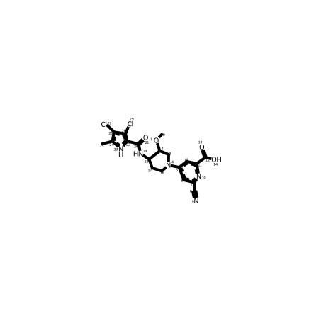 COC1CN(c2cc(C#N)nc(C(=O)O)c2)CCC1NC(=O)c1[nH]c(C)c(Cl)c1Cl